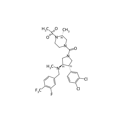 C[C@@H]1CN(C(=O)N2C[C@H](c3ccc(Cl)c(Cl)c3)[C@@H](N(C)Cc3ccc(C(F)(F)F)c(F)c3)C2)CCN1S(C)(=O)=O